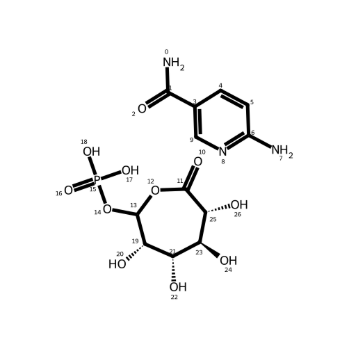 NC(=O)c1ccc(N)nc1.O=C1OC(OP(=O)(O)O)[C@@H](O)[C@@H](O)[C@H](O)[C@H]1O